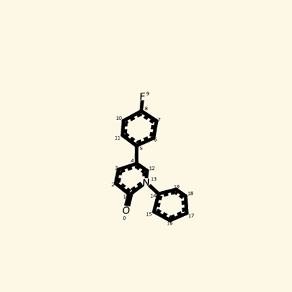 O=c1ccc(-c2ccc(F)cc2)cn1-c1ccccc1